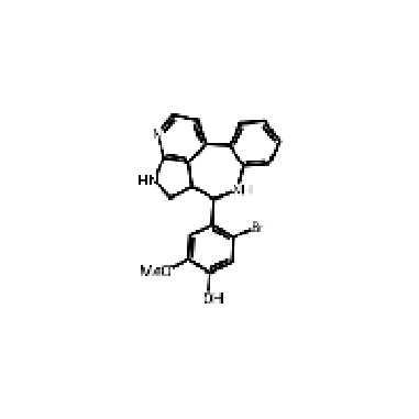 COc1cc(C2Nc3ccccc3-c3ccnc4c3C2CN4)c(Br)cc1O